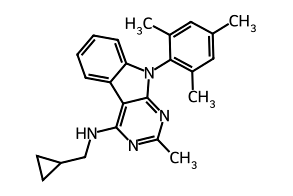 Cc1cc(C)c(-n2c3ccccc3c3c(NCC4CC4)nc(C)nc32)c(C)c1